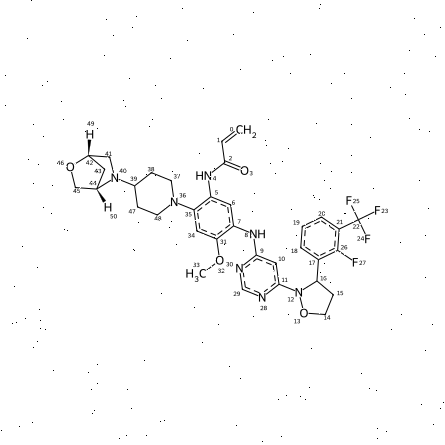 C=CC(=O)Nc1cc(Nc2cc(N3OCCC3c3cccc(C(F)(F)F)c3F)ncn2)c(OC)cc1N1CCC(N2C[C@@H]3C[C@H]2CO3)CC1